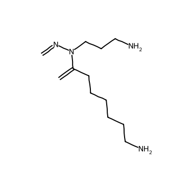 C=NN(CCCN)C(=C)CCCCCCN